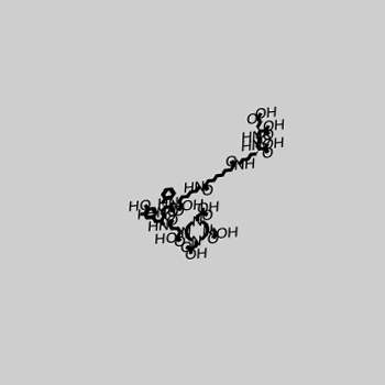 O=C(O)CC[C@H](NC(=O)N[C@@H](CCCCNC(=O)CCCCCCC(=O)NCCCCC(NC(=O)[C@@H](Cc1ccccc1)NC(=O)C(Cc1ccc(O)c(I)c1)NC(=O)CCC(C(=O)O)N1CCN(CC(=O)O)CCN(CC(=O)O)CCN(CC(=O)O)CC1)C(=O)O)C(=O)O)C(=O)O